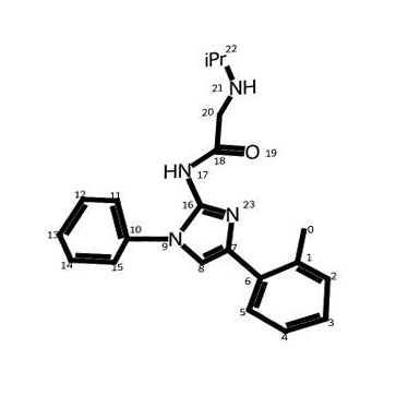 Cc1ccccc1-c1cn(-c2ccccc2)c(NC(=O)CNC(C)C)n1